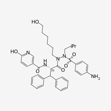 CC(C)CN(N(CCCCCCO)C(=O)[C@@H](NC(=O)c1ccc(O)nc1)C(c1ccccc1)c1ccccc1)S(=O)(=O)c1ccc(N)cc1